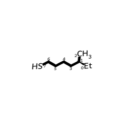 CC[C@H](C)CCCCS